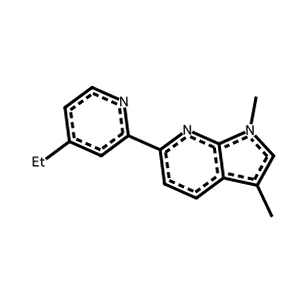 CCc1ccnc(-c2ccc3c(C)cn(C)c3n2)c1